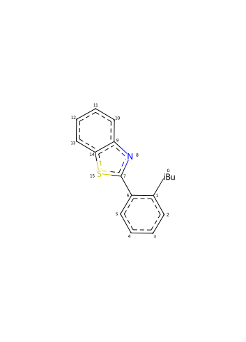 CCC(C)c1ccccc1-c1nc2ccccc2s1